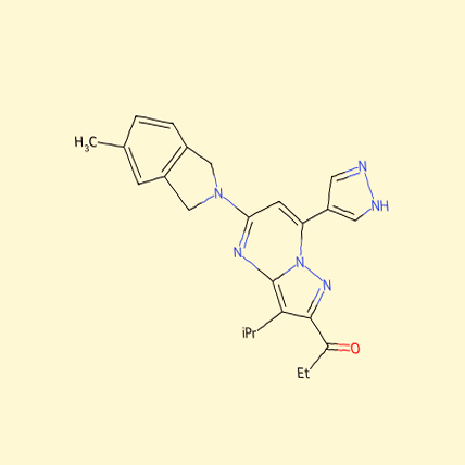 CCC(=O)c1nn2c(-c3cn[nH]c3)cc(N3Cc4ccc(C)cc4C3)nc2c1C(C)C